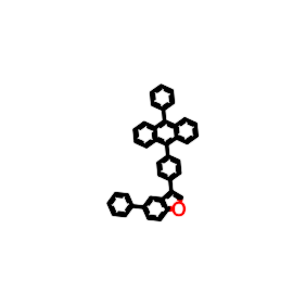 c1ccc(-c2ccc3occ(-c4ccc(-c5c6ccccc6c(-c6ccccc6)c6ccccc56)cc4)c3c2)cc1